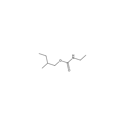 CCNC(=O)OCC(C)CC